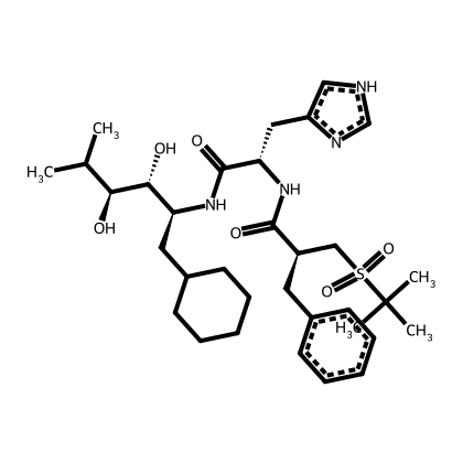 CC(C)[C@H](O)[C@H](O)[C@H](CC1CCCCC1)NC(=O)[C@H](Cc1c[nH]cn1)NC(=O)[C@H](Cc1ccccc1)CS(=O)(=O)C(C)(C)C